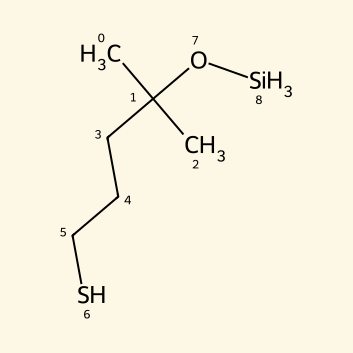 CC(C)(CCCS)O[SiH3]